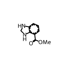 COC(=O)c1cccc2c1NCN2